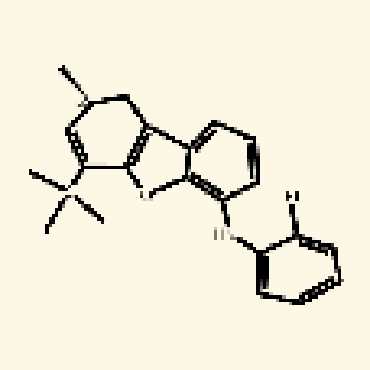 CCc1ccccc1Nc1cccc2c3c(oc12)C(S(C)(C)I)=C[C@@H](C)C3